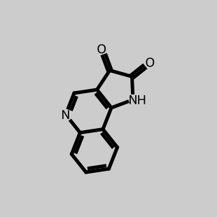 O=C1Nc2c(cnc3ccccc23)C1=O